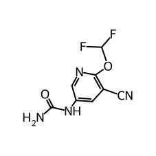 N#Cc1cc(NC(N)=O)cnc1OC(F)F